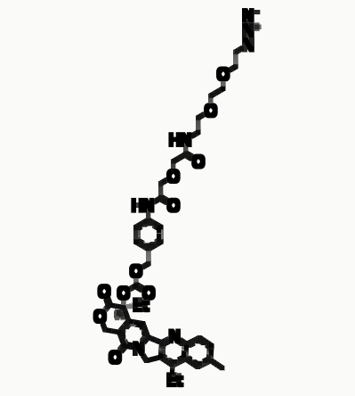 CCc1c2c(nc3ccc(C)cc13)-c1cc3c(c(=O)n1C2)COC(=O)[C@@]3(CC)OC(=O)OCc1ccc(NC(=O)COCC(=O)NCCOCCOCCN=[N+]=[N-])cc1